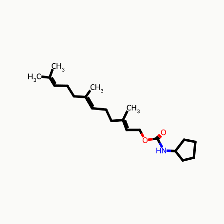 CC(C)=CCC/C(C)=C/CC/C(C)=C/COC(=O)NC1CCCC1